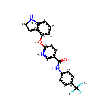 O=C(Nc1ccc(C(F)(F)F)cc1)c1ccc(Oc2cccc3c2CCN3)nc1